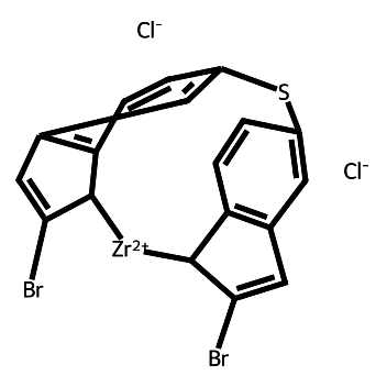 BrC1=Cc2cc3ccc2[CH]1[Zr+2][CH]1C(Br)=Cc2cc(ccc21)S3.[Cl-].[Cl-]